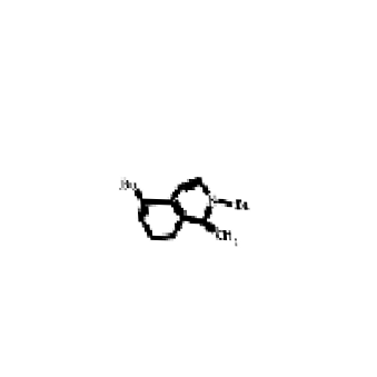 C=C1C2=C(C=CN1C(C)(C)C)C(C(C)(C)C)=CCC2